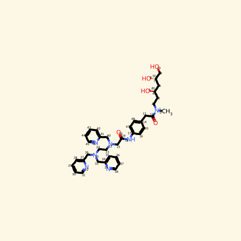 CN(CC[C@@H](O)C[C@H](O)CO)C(=O)Cc1ccc(NC(=O)CN(CCN(Cc2ccccn2)Cc2ccccn2)Cc2ccccn2)cc1